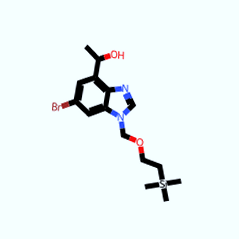 CC(O)c1cc(Br)cc2c1ncn2COCC[Si](C)(C)C